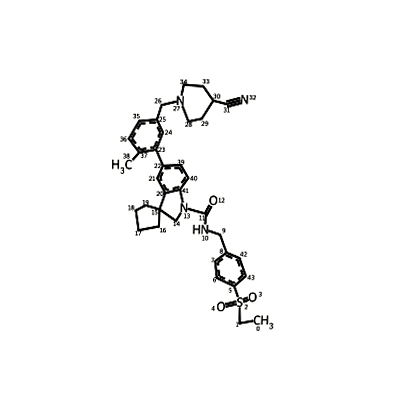 CCS(=O)(=O)c1ccc(CNC(=O)N2CC3(CCCC3)c3cc(-c4cc(CN5CCC(C#N)CC5)ccc4C)ccc32)cc1